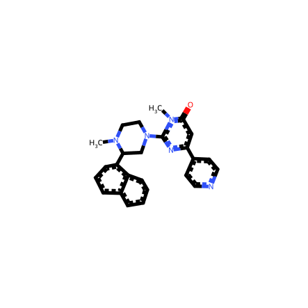 CN1CCN(c2nc(-c3ccncc3)cc(=O)n2C)CC1c1cccc2ccccc12